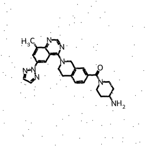 Cc1cc(-n2nccn2)cc2c(N3CCc4ccc(C(=O)N5CCC(N)CC5)cc4C3)ncnc12